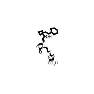 O=C(O)c1csc(SCCN2C(=O)OC[C@@H]2C=C[C@@H](O)C2(CCC3CCCCC3)CCC2)n1